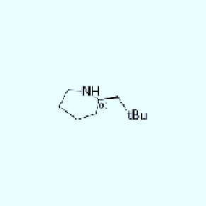 CC(C)(C)C[C@H]1CCCCN1